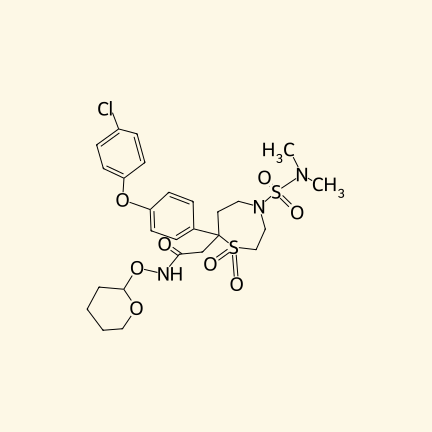 CN(C)S(=O)(=O)N1CCC(CC(=O)NOC2CCCCO2)(c2ccc(Oc3ccc(Cl)cc3)cc2)S(=O)(=O)CC1